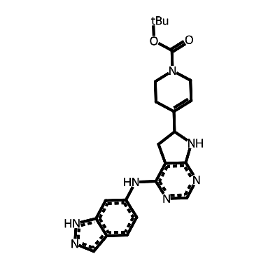 CC(C)(C)OC(=O)N1CC=C(C2Cc3c(Nc4ccc5cn[nH]c5c4)ncnc3N2)CC1